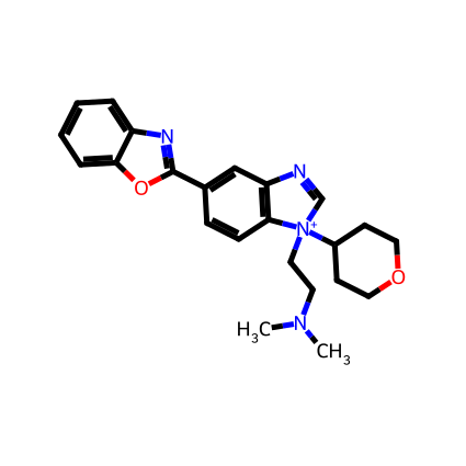 CN(C)CC[N+]1(C2CCOCC2)C=Nc2cc(-c3nc4ccccc4o3)ccc21